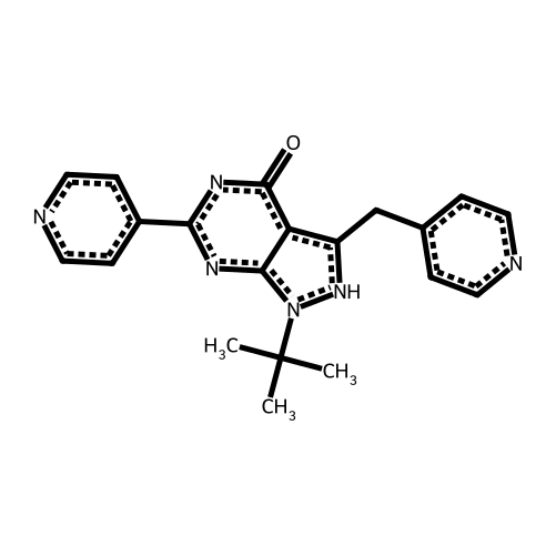 CC(C)(C)n1[nH]c(Cc2ccncc2)c2c(=O)nc(-c3ccncc3)nc1-2